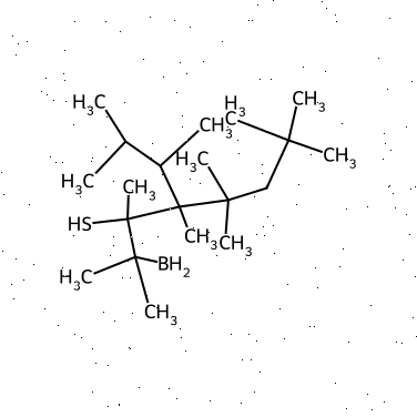 BC(C)(C)C(C)(S)C(C)(C(C)C(C)C)C(C)(C)CC(C)(C)C